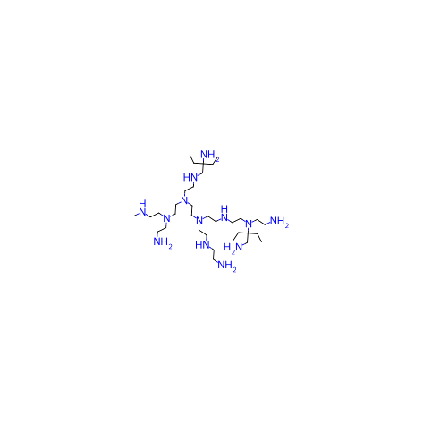 CCC(N)(CC)CNCCN(CCN(CCN)CCNC)CCN(CCNCCN)CCNCCN(CCN)C(CC)(CC)CN